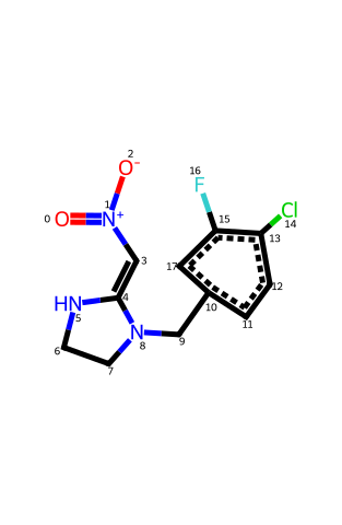 O=[N+]([O-])C=C1NCCN1Cc1ccc(Cl)c(F)c1